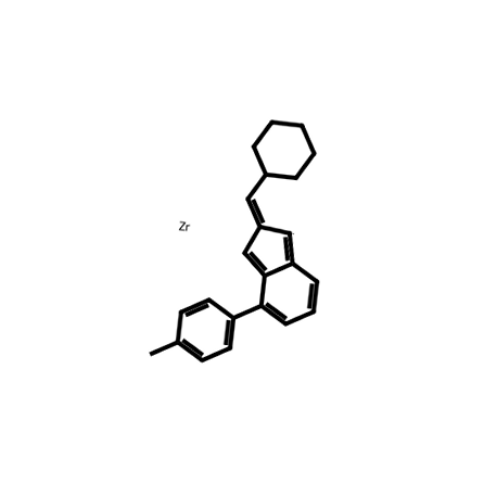 Cc1ccc(-c2cccc3c2=CC(=CC2CCCCC2)[C]=3)cc1.[Zr]